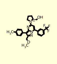 COCc1nn2c(-c3cccc(C(F)(F)F)c3)cc(N3CCC[C@H]3CO)nc2c1-c1ccc(C)cc1